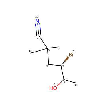 CC(O)[C@H](Br)CC(C)(C)C#N